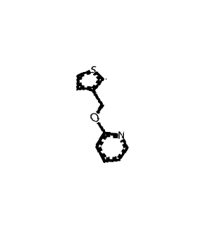 [c]1sccc1COc1ccccn1